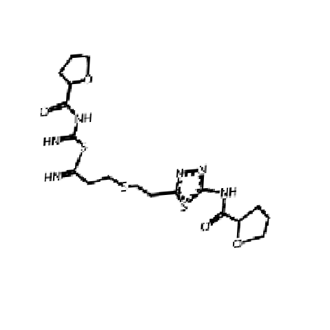 N=C(CCSCCc1nnc(NC(=O)C2CCCO2)s1)SC(=N)NC(=O)C1CCCO1